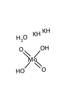 O.[KH].[KH].[O]=[Mo](=[O])([OH])[OH]